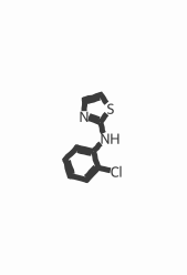 Clc1ccccc1Nc1nccs1